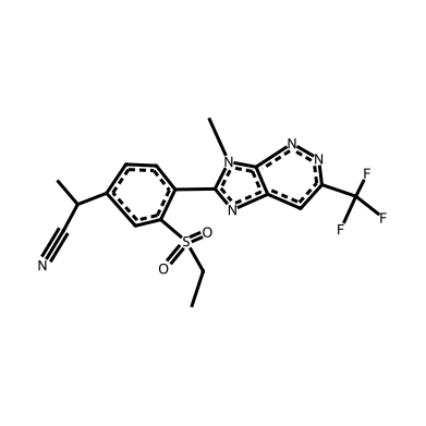 CCS(=O)(=O)c1cc(C(C)C#N)ccc1-c1nc2cc(C(F)(F)F)nnc2n1C